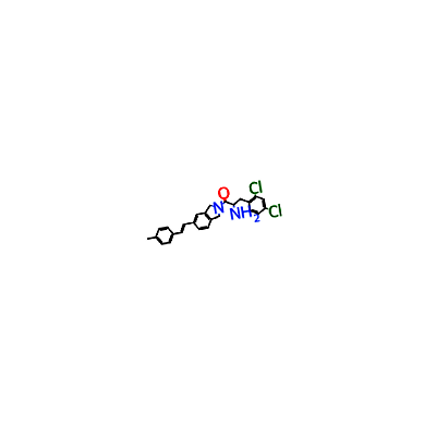 Cc1ccc(/C=C/c2ccc3c(c2)CN(C(=O)[C@H](N)Cc2ccc(Cl)cc2Cl)C3)cc1